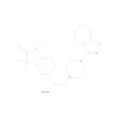 CNC(CN1CCN(c2nsc3ccccc23)CC1)c1ccc2c(c1)C(C)(C)C(=O)C2(C)C